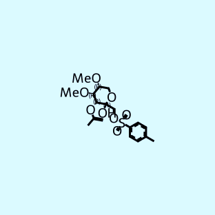 C=C(C)O[C@@H]1[C@H](OC)[C@H](OC)CO[C@]1(O)COS(=O)(=O)c1ccc(C)cc1